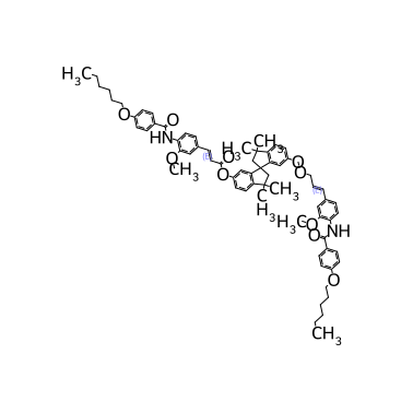 CCCCCCOc1ccc(C(=O)Nc2ccc(/C=C/COOc3ccc4c(c3)C3(CC4(C)C)CC(C)(C)c4ccc(OC(=O)/C=C/c5ccc(NC(=O)c6ccc(OCCCCCC)cc6)c(OC)c5)cc43)cc2OC)cc1